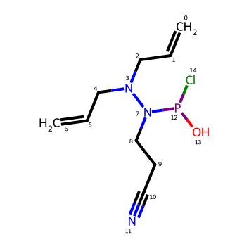 C=CCN(CC=C)N(CCC#N)P(O)Cl